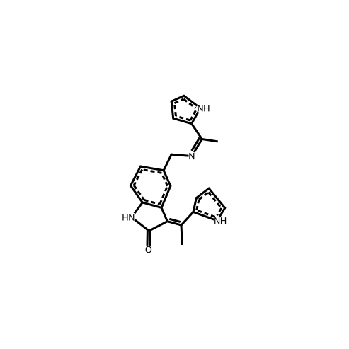 CC(=NCc1ccc2c(c1)C(=C(C)c1ccc[nH]1)C(=O)N2)c1ccc[nH]1